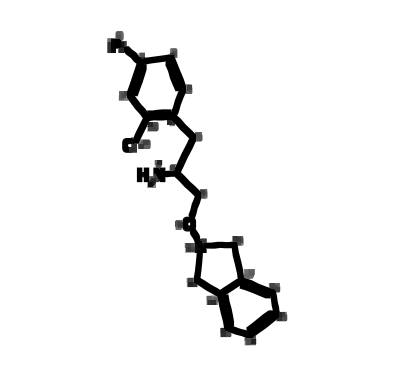 CC(C)c1ccc(CC(N)CON2Cc3ccccc3C2)c(Cl)c1